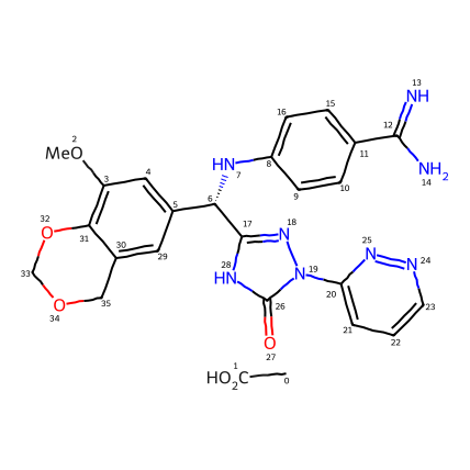 CC(=O)O.COc1cc([C@H](Nc2ccc(C(=N)N)cc2)c2nn(-c3cccnn3)c(=O)[nH]2)cc2c1OCOC2